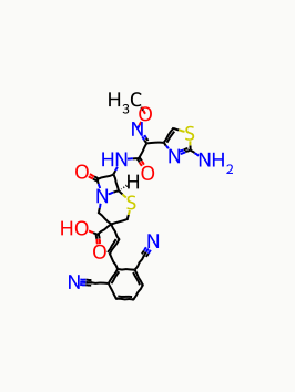 CON=C(C(=O)NC1C(=O)N2CC(C=Cc3c(C#N)cccc3C#N)(C(=O)O)CS[C@H]12)c1csc(N)n1